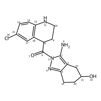 Nc1c2c(nn1C(=O)C1CCNc3ccc(Cl)cc31)CCC(O)C2